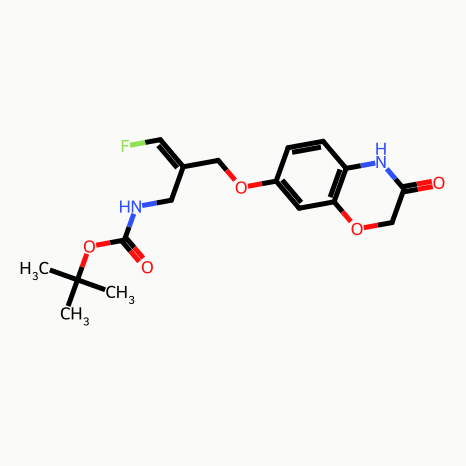 CC(C)(C)OC(=O)NC/C(=C\F)COc1ccc2c(c1)OCC(=O)N2